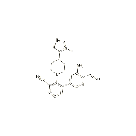 Cn1cnnc1C1CCN(c2c(C#N)cccc2-c2cnc(C=N)c(N)c2)CC1